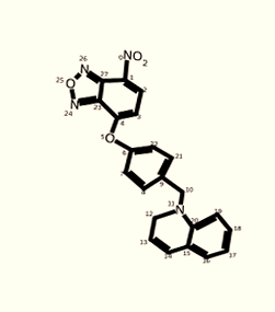 O=[N+]([O-])c1ccc(Oc2ccc(CN3CC=Cc4ccccc43)cc2)c2nonc12